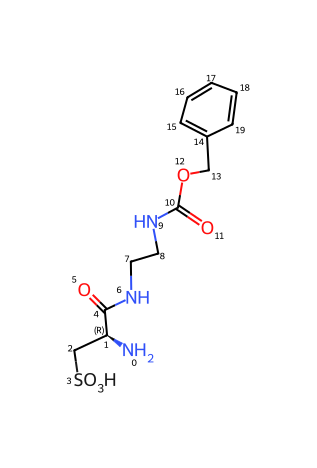 N[C@@H](CS(=O)(=O)O)C(=O)NCCNC(=O)OCc1ccccc1